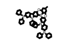 Cc1cc2c3c(c1)Oc1cc4c5ccc(N(c6ccccc6)c6ccccc6)cc5n(-c5ccccc5)c4cc1B3c1cc3c(cc1O2)c1ccc(N(c2ccccc2)c2ccccc2)cc1n3-c1ccccc1